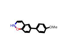 COc1ccc(-c2ccc3c(c2)C=CNO3)cc1